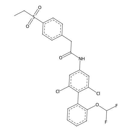 CCS(=O)(=O)c1ccc(CC(=O)Nc2cc(Cl)c(-c3ccccc3OC(F)F)c(Cl)c2)cc1